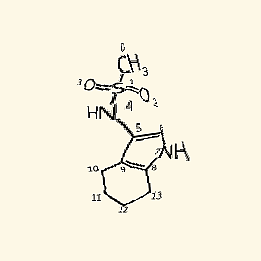 CS(=O)(=O)Nc1c[nH]c2c1CCCC2